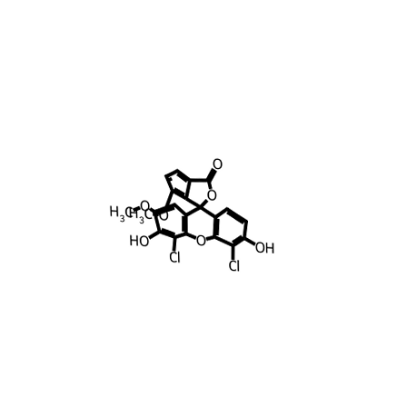 COc1cc2c(c(Cl)c1O)Oc1c(ccc(O)c1Cl)C21OC(=O)c2cccc(OC)c21